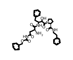 N[C@@H](CC(=O)NC(=O)OCc1ccccc1)C(=O)NC(Cc1ccccc1)C(O)C(=O)N1CCC[C@H]1C(=O)NCCc1ccccc1